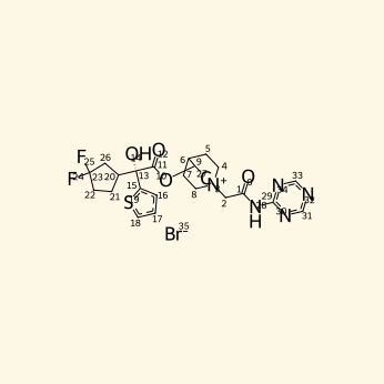 O=C(C[N+]12CCC(CC1)C(OC(=O)[C@@](O)(c1cccs1)C1CCC(F)(F)C1)C2)Nc1ncncn1.[Br-]